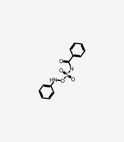 O=C([N]S(=O)(=O)ONc1ccccc1)c1ccccc1